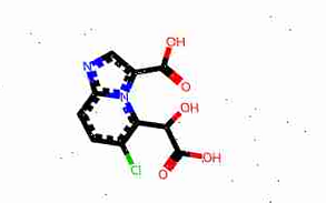 O=C(O)c1cnc2ccc(Cl)c(C(O)C(=O)O)n12